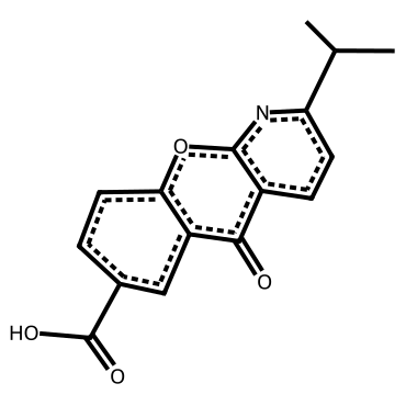 CC(C)c1ccc2c(=O)c3cc(C(=O)O)ccc3oc2n1